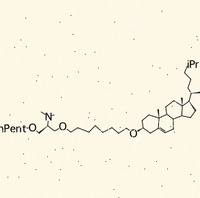 CCCCCOC[C@H](COCCCCCCCCO[C@H]1CC[C@@]2(C)C(=CCC3C2CC[C@@]2(C)C3CC[C@@H]2[C@H](C)CCCC(C)C)C1)N(C)C